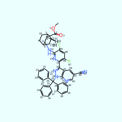 COC(=O)[C@H]1C2CCC(CC2)[C@@H]1Nc1nc(-c2nn(C(c3ccccc3)(c3ccccc3)c3ccccc3)c3ncc(C#N)cc23)c(F)cc1F